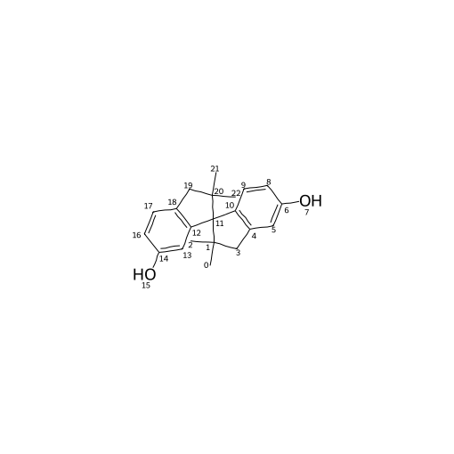 CC1(C)Cc2cc(O)ccc2C12c1cc(O)ccc1CC2(C)C